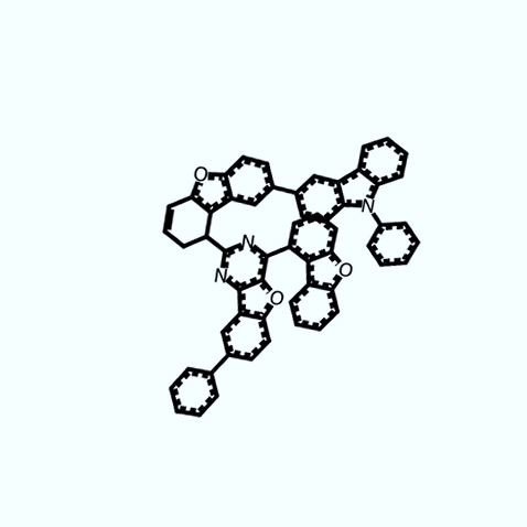 C1=Cc2oc3ccc(-c4ccc5c(c4)c4ccccc4n5-c4ccccc4)cc3c2C(c2nc(-c3cccc4oc5ccccc5c34)c3oc4ccc(-c5ccccc5)cc4c3n2)C1